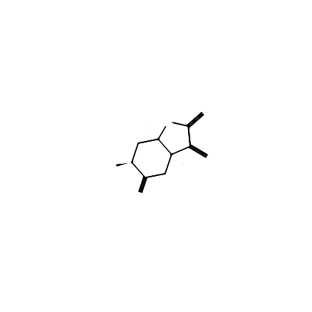 C=C1O[C@@H]2C[C@H](O)C(=O)C[C@@H]2C1=C